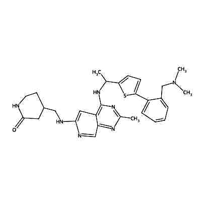 Cc1nc(NC(C)c2ccc(-c3ccccc3CN(C)C)s2)c2cc(NCC3CCNC(=O)C3)ncc2n1